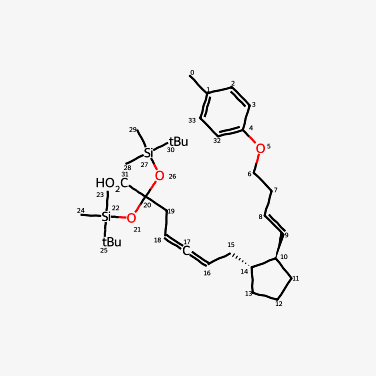 Cc1ccc(OCC/C=C/[C@H]2CCC[C@@H]2CC=C=CCC(O[Si](C)(C)C(C)(C)C)(O[Si](C)(C)C(C)(C)C)C(=O)O)cc1